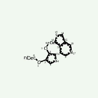 CCCCCCCCCCOc1cscc1OCCCCCCCCCC.c1cc2cscc2cn1